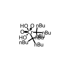 CCCC[C](CCCC)(CCCC)[Cr](=[O])(=[O])([OH])([OH])[C](CCCC)(CCCC)CCCC